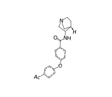 CC(=O)c1ccc(Oc2ccc(C(=O)NC3CN4CC[C@H]3C4)cc2)cc1